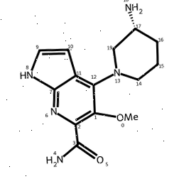 COc1c(C(N)=O)nc2[nH]c[c]c2c1N1CCC[C@@H](N)C1